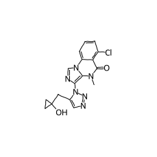 Cn1c(=O)c2c(Cl)cccc2n2cnc(-n3nncc3CC3(O)CC3)c12